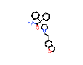 NC(=O)C(c1ccccc1)(c1ccccc1)[C@@H]1CCN(/C=C/c2ccc3c(c2)CCO3)C1